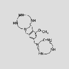 COc1cc(CN2CCNCCNCCNCC2)cc(CN2CCNCCNCCNCC2)c1I